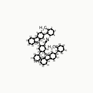 Cc1ccccc1-c1ccc2c3ccccc3n(-c3cc(-c4ccncc4)c(-n4c5ccccc5c5ccc(-c6ccccc6C)cc54)cc3C#N)c2c1